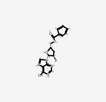 O=C(OC[C@@H]1C[C@@H](F)[C@H](n2cnc3c(Cl)ncnc32)O1)c1ccccc1